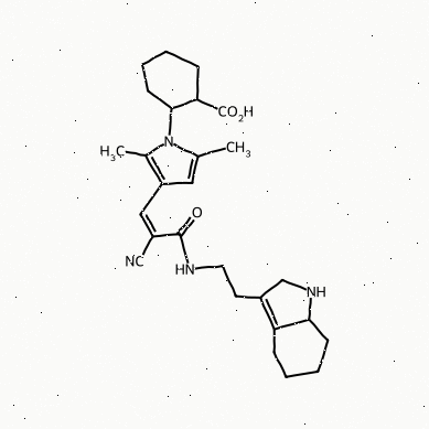 Cc1cc(/C=C(/C#N)C(=O)NCCC2=C3CCCCC3NC2)c(C)n1C1CCCCC1C(=O)O